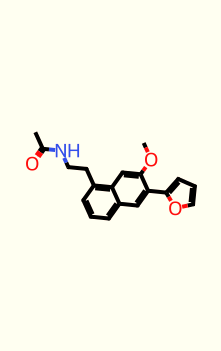 COc1cc2c(CCNC(C)=O)cccc2cc1-c1ccco1